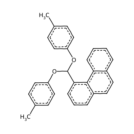 Cc1ccc(OC(Oc2ccc(C)cc2)c2cccc3ccc4ccccc4c23)cc1